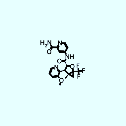 COc1cccnc1[C@H]1[C@H](C(=O)Nc2ccnc(C(N)=O)c2)O[C@]2(C(F)(F)F)C[C@]12C